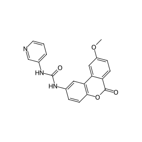 COc1ccc2c(=O)oc3ccc(NC(=O)Nc4cccnc4)cc3c2c1